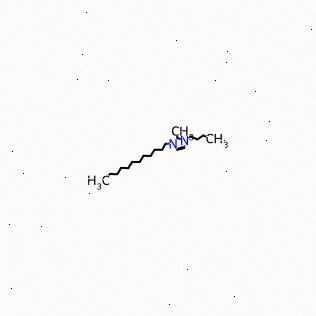 CCCCCCCCCCCCN1C=CN(CCCC)C1C